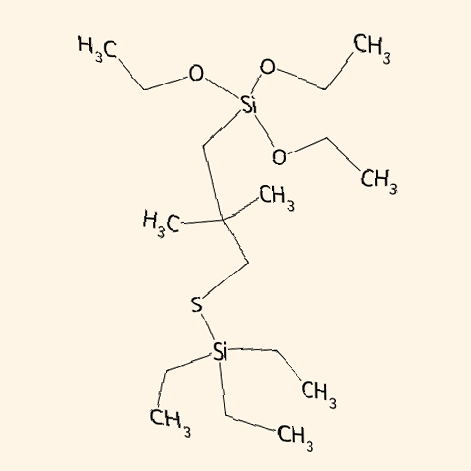 CCO[Si](CC(C)(C)CS[Si](CC)(CC)CC)(OCC)OCC